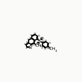 CC1=C2N=CC=C2Cc2cccc(S(=O)(=O)c3ccc(C)cc3)c21